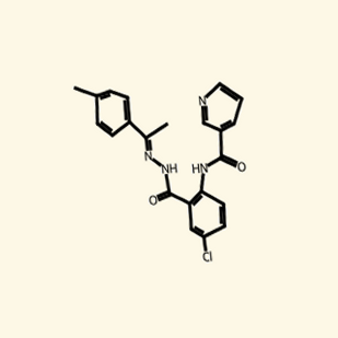 CC(=NNC(=O)c1cc(Cl)ccc1NC(=O)c1cccnc1)c1ccc(C)cc1